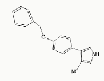 N#Cc1c[nH]cc1-c1ccc(OCc2ccccc2)cc1